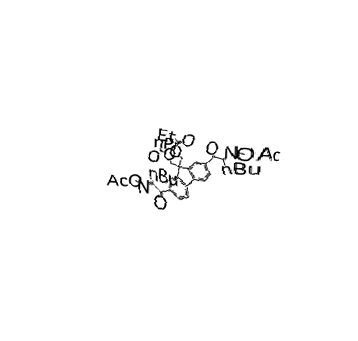 CCCC/C(=N\OC(C)=O)C(=O)c1ccc2c(c1)C(COC(=O)CC)(COC(=O)CCC)c1cc(C(=O)/C(CCCC)=N/OC(C)=O)ccc1-2